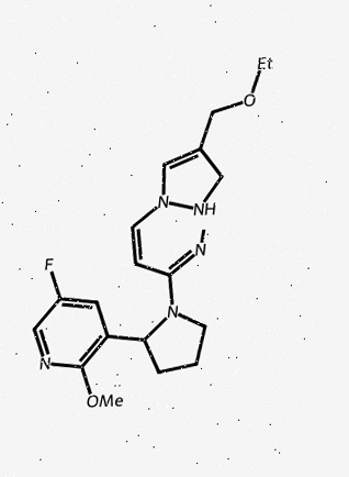 CCOCC1=CN(/C=C\C(=N/C)N2CCCC2c2cc(F)cnc2OC)NC1